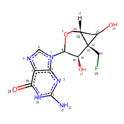 Nc1nc2c(ncn2C2O[C@@H]3C(O)[C@]3(CF)[C@H]2O)c(=O)[nH]1